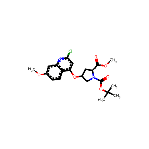 COC(=O)C1CC(Oc2cc(Cl)nc3cc(OC)ccc23)CN1C(=O)OC(C)(C)C